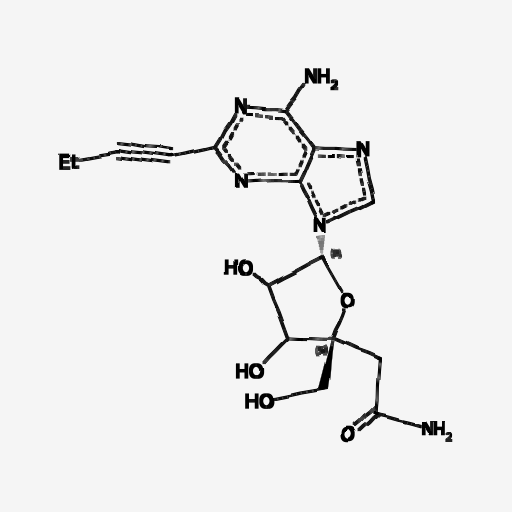 CCC#Cc1nc(N)c2ncn([C@@H]3O[C@](CO)(CC(N)=O)C(O)C3O)c2n1